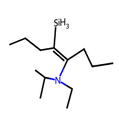 CCCC([SiH3])=C(CCC)N(CC)C(C)C